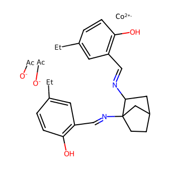 CC(=O)[O-].CC(=O)[O-].CCc1ccc(O)c(C=NC2CC3CCC2(N=Cc2cc(CC)ccc2O)C3)c1.[Co+2]